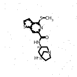 CSc1nc(C(=O)N[C@@H]2C[C@@H]3CCN(C3)C2)cc2sccc12